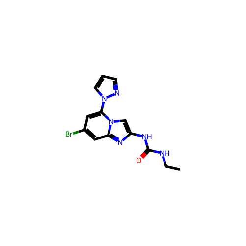 CCNC(=O)Nc1cn2c(-n3cccn3)cc(Br)cc2n1